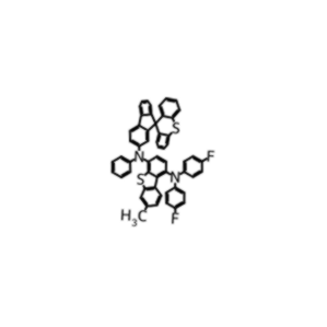 Cc1ccc2c(c1)sc1c(N(c3ccccc3)c3ccc4c(c3)C3(c5ccccc5Sc5ccccc53)c3ccccc3-4)ccc(N(c3ccc(F)cc3)c3ccc(F)cc3)c12